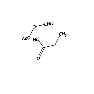 CC(=O)OOC=O.CCC(=O)O